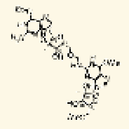 CCOC1NC(N)=Nc2c1ncn2[C@@H]1O[C@H](COCNC2=Nc3c(ncn3[C@@H]3O[C@H](COC)[C@@H](O)[C@@]3(C)O)C(OC)N2)[C@@H](O)[C@@]1(C)O